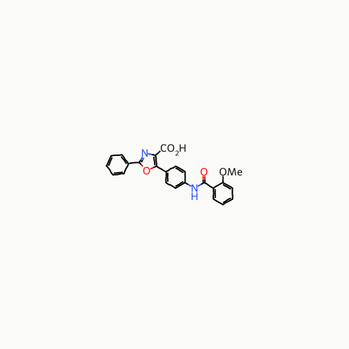 COc1ccccc1C(=O)Nc1ccc(-c2oc(-c3ccccc3)nc2C(=O)O)cc1